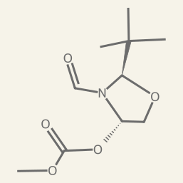 COC(=O)O[C@H]1CO[C@H](C(C)(C)C)N1C=O